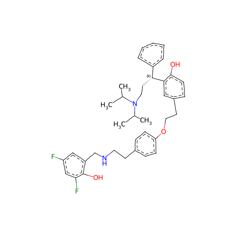 CC(C)N(CC[C@H](c1ccccc1)c1cc(CCOc2ccc(CCNCc3cc(F)cc(F)c3O)cc2)ccc1O)C(C)C